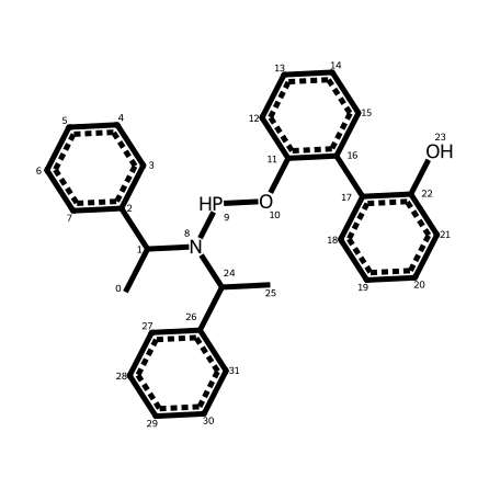 CC(c1ccccc1)N(POc1ccccc1-c1ccccc1O)C(C)c1ccccc1